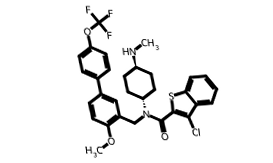 CN[C@H]1CC[C@H](N(Cc2cc(-c3ccc(OC(F)(F)F)cc3)ccc2OC)C(=O)c2sc3ccccc3c2Cl)CC1